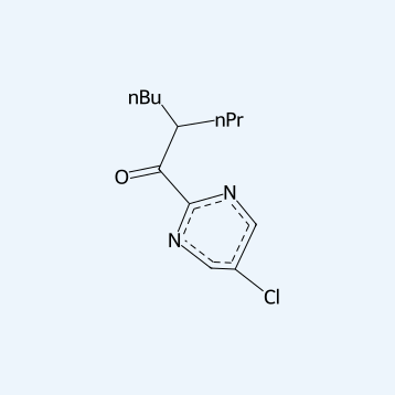 CCCCC(CCC)C(=O)c1ncc(Cl)cn1